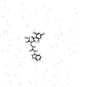 COC(=O)[C@H](CNC(=O)N[C@H]1CCc2ccccc21)NC(=O)c1c(Cl)cc(Cl)cc1Cl